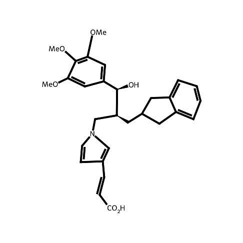 COc1cc([C@@H](O)[C@@H](CC2Cc3ccccc3C2)Cn2ccc(/C=C/C(=O)O)c2)cc(OC)c1OC